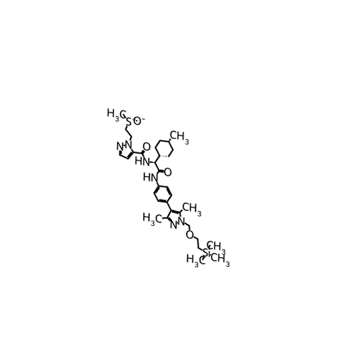 Cc1nn(COCC[Si](C)(C)C)c(C)c1-c1ccc(NC(=O)[C@@H](NC(=O)c2ccnn2CC[S+](C)[O-])[C@H]2CC[C@H](C)CC2)cc1